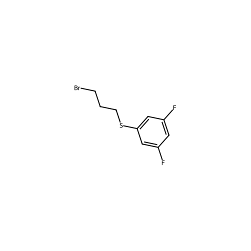 Fc1cc(F)cc(SCCCBr)c1